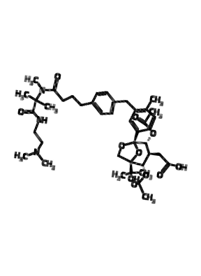 CC(=O)O[C@@H]1[C@@H](CC(=O)O)[C@H](OC(C)=O)[C@]2(C(C)(C)O)CO[C@@]1(c1ccc(C)c(Cc3ccc(CCCC(=O)N(C)C(C)(C)C(=O)NCCN(C)C)cc3)c1)O2